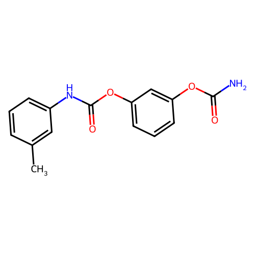 Cc1cccc(NC(=O)Oc2cccc(OC(N)=O)c2)c1